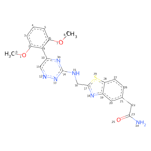 COc1cccc(OC)c1-c1cnnc(NCc2nc3cc(CC(N)=O)ccc3s2)n1